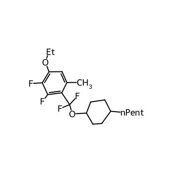 CCCCCC1CCC(OC(F)(F)c2c(C)cc(OCC)c(F)c2F)CC1